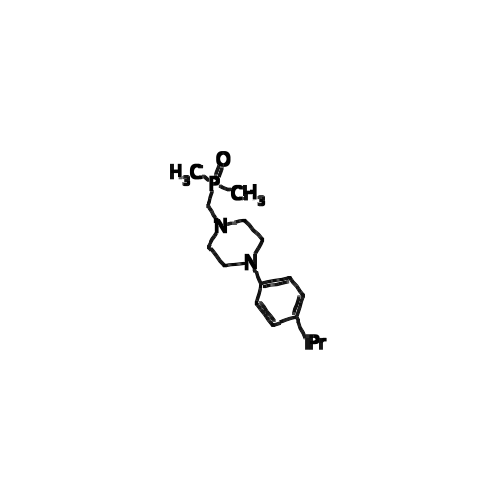 CC(C)c1ccc(N2CCN(CP(C)(C)=O)CC2)cc1